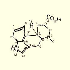 CN1C[C@@H](C(=O)O)C[C@@H]2c3cccc4[nH]cc(c34)CC21